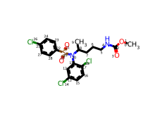 COC(=O)NCCCC(C)N(c1cc(Cl)ccc1Cl)S(=O)(=O)c1ccc(Cl)cc1